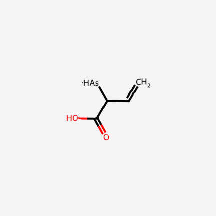 C=CC([AsH])C(=O)O